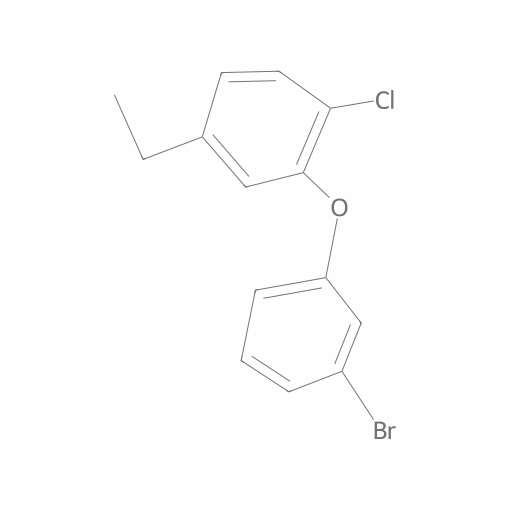 CCc1ccc(Cl)c(Oc2cccc(Br)c2)c1